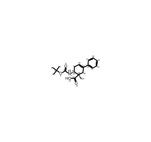 CC(C)(C)OC(=O)N[C@H]1CC=C(c2ccccc2)C[C@]1(C)C(=O)O